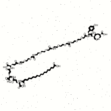 O=C(O)CCCCCCCCCCCCCCCCC(=O)N[C@@H](CCC(=O)N[C@@H](CCC(=O)N[C@@H](CCC(=O)NCCOCCOCC(=O)NCCOCCOCC(=O)NCCOCCOCC(=O)NCCOCCOCC(=O)N[C@@H](Cc1ccc(O)cc1)C(=O)C[C@H]1CSSC[C@@H](C(=O)O)CC1=O)C(=O)O)C(=O)O)C(=O)O